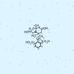 CC1(C)CC(O)CC(C)(C)N1CCO.Cc1c(C(=O)O)cccc1C(=O)O